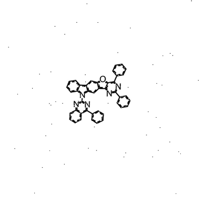 c1ccc(-c2nc(-c3ccccc3)c3oc4cc5c6ccccc6n(-c6nc(-c7ccccc7)c7ccccc7n6)c5cc4c3n2)cc1